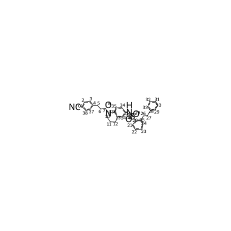 N#Cc1ccc(CCC(=O)N2CCCc3cc(NS(=O)(=O)c4ccccc4CCc4ccccc4)ccc32)cc1